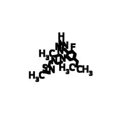 Cc1cnc(CN2CCN(c3cc(CC(C)C)cc(F)c3-c3nn[nH]n3)C[C@@H]2C)s1